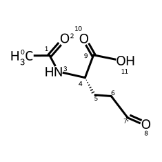 CC(=O)N[C@@H](CC[C]=O)C(=O)O